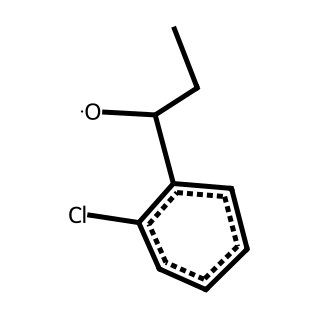 CCC([O])c1ccccc1Cl